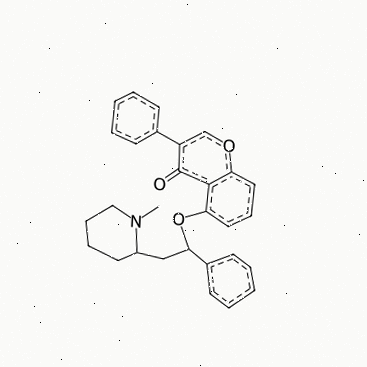 CN1CCCCC1CC(Oc1cccc2occ(-c3ccccc3)c(=O)c12)c1ccccc1